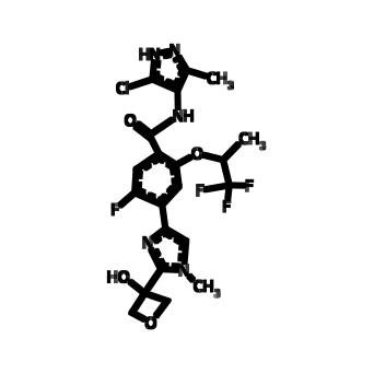 Cc1n[nH]c(Cl)c1NC(=O)c1cc(F)c(-c2cn(C)c(C3(O)COC3)n2)cc1OC(C)C(F)(F)F